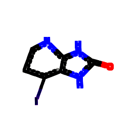 O=c1[nH]c2nccc(I)c2[nH]1